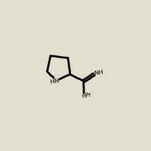 CCCC(=N)C1CCCN1